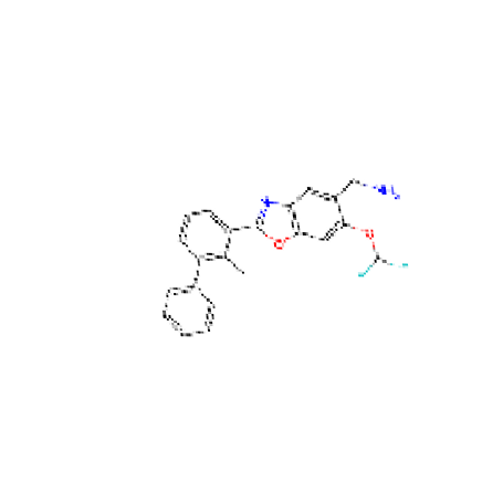 Cc1c(-c2ccccc2)cccc1-c1nc2cc(CN)c(OC(F)F)cc2o1